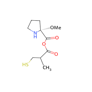 CO[C@@]1(C(=O)OC(=O)C(C)CS)CCCN1